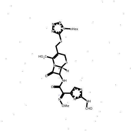 CCCCCCn1nnnc1SCC1=C(C(=O)O)N2C(=O)C(NC(=O)/C(=N/OC)c3csc(NC=O)n3)[C@H]2SC1